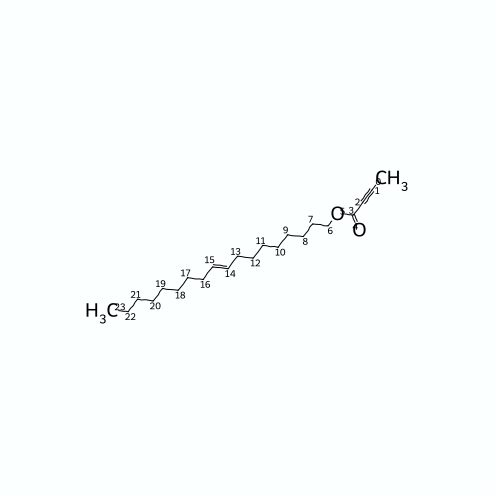 CC#CC(=O)OCCCCCCCCC=CCCCCCCCC